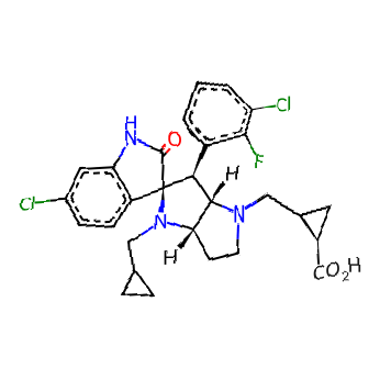 O=C(O)C1CC1CN1CC[C@H]2[C@@H]1[C@H](c1cccc(Cl)c1F)[C@]1(C(=O)Nc3cc(Cl)ccc31)N2CC1CC1